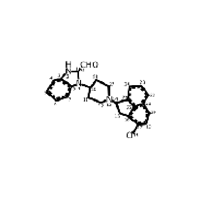 O=CC1Nc2ccccc2N1C1CCN(C2Cc3c(Cl)ccc4cccc2c34)CC1